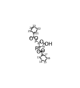 O=C(OC[C@H]1OC(O)[C@H](OC(=O)c2ccccc2)[C@@H]1F)c1ccccc1